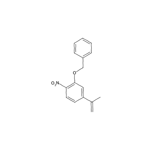 C=C(C)c1ccc([N+](=O)[O-])c(OCc2ccccc2)c1